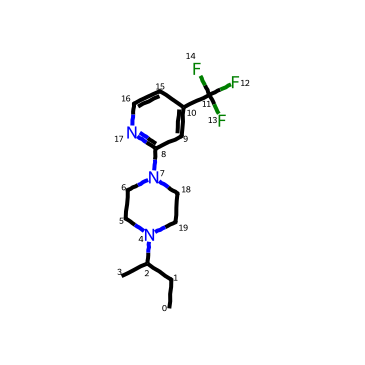 CCC(C)N1CCN(c2cc(C(F)(F)F)ccn2)CC1